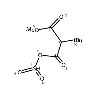 COC(=O)C(C(=O)O[SH](=O)=O)C(C)(C)C